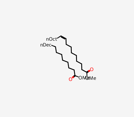 CCCCCCCC/C=C\CCCCCCCC(=O)OC.CCCCCCCCCCCCCCCCCC(=O)OC